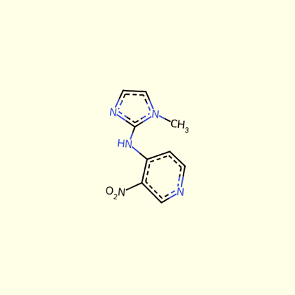 Cn1ccnc1Nc1ccncc1[N+](=O)[O-]